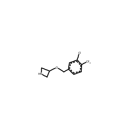 FC(F)(F)c1ccc(COC2CNC2)cc1Cl